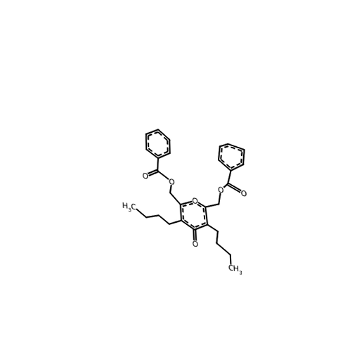 CCCCc1c(COC(=O)c2ccccc2)oc(COC(=O)c2ccccc2)c(CCCC)c1=O